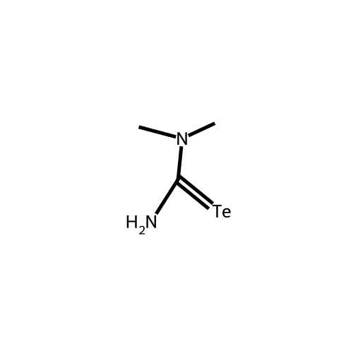 CN(C)C(N)=[Te]